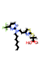 CCCCCCCN(CCc1csc(SC(C)(C)C(=O)O)n1)c1nccc(C(F)(F)F)n1